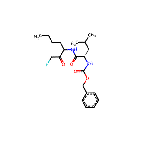 CCCCC(NC(=O)[C@H](CC(C)C)NC(=O)OCc1ccccc1)C(=O)CF